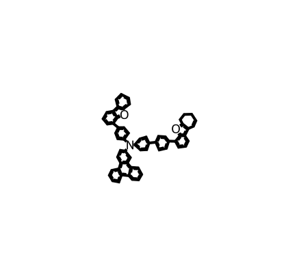 C1=Cc2c(oc3c(-c4ccc(-c5ccc(N(c6ccc(-c7cccc8c7oc7ccccc78)cc6)c6ccc7c8ccccc8c8ccccc8c7c6)cc5)cc4)cccc23)CCC1